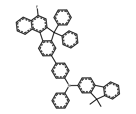 CC1(C)c2ccccc2-c2ccc(N(c3ccccc3)c3ccc(-c4ccc5c(c4)C(c4ccccc4)(c4ccccc4)c4cc(F)c6ccccc6c4-5)cc3)cc21